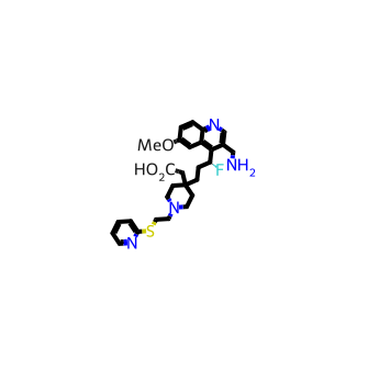 COc1ccc2ncc(CN)c([C@H](F)CCC3(CC(=O)O)CCN(CCSc4ccccn4)CC3)c2c1